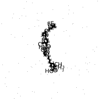 CC1(C)CC(CCCCn2ccc(S(=O)(=O)NC(=O)c3ccc(-n4ccc(OCCCC5(C(F)(F)F)CC5)n4)nc3Cl)n2)CN1C(=O)O